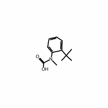 CN(C(=O)O)c1ccccc1C(C)(C)C